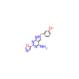 COc1cccc(Cn2cc3c(N)nc(-c4cnco4)nc3n2)c1